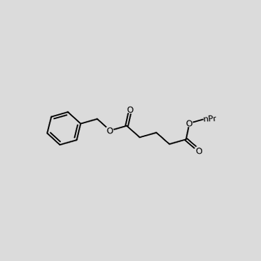 CCCOC(=O)CCCC(=O)OCc1ccccc1